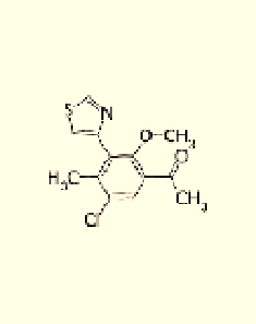 COc1c(C(C)=O)cc(Cl)c(C)c1-c1cscn1